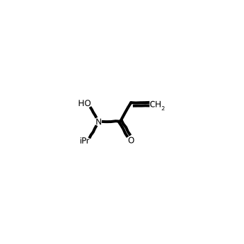 C=CC(=O)N(O)C(C)C